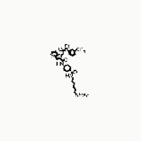 CCN(C(=O)Cn1c(C(=O)N[C@H]2CC[C@H](C(=O)NCCCCCCNC(C)=O)CC2)cc2sccc21)c1cccc(C)c1